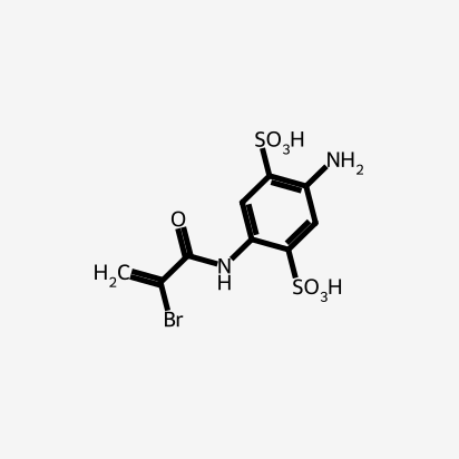 C=C(Br)C(=O)Nc1cc(S(=O)(=O)O)c(N)cc1S(=O)(=O)O